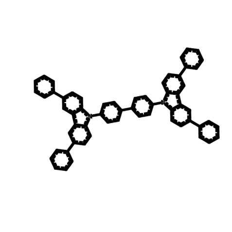 c1ccc(-c2ccc3c(c2)c2cc(-c4ccccc4)ccc2n3-c2ccc(-c3ccc(-n4c5ccc(-c6ccccc6)cc5c5cc(-c6ccccc6)ccc54)cc3)cc2)cc1